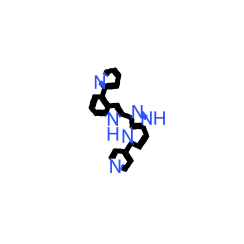 c1ccc(-c2cccc3[nH]c(-c4n[nH]c5ccc(-c6ccncc6)nc45)cc23)nc1